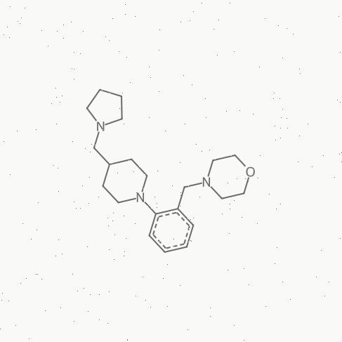 c1ccc(N2CCC(CN3CCCC3)CC2)c(CN2CCOCC2)c1